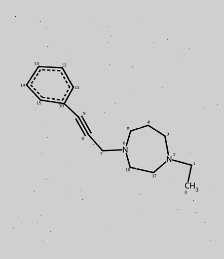 CCN1CCCN(CC#Cc2ccccc2)CC1